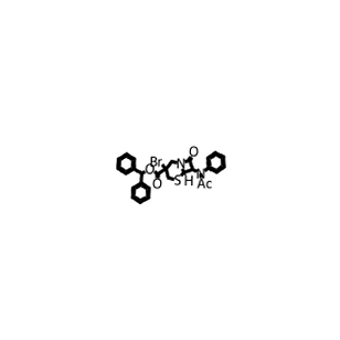 CC(=O)N(c1ccccc1)C1C(=O)N2CC(Br)(C(=O)OC(c3ccccc3)c3ccccc3)CS[C@H]12